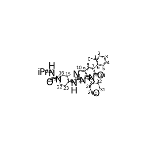 Cc1ccccc1-c1cc2cnc(NC3CCN(C(=O)NC(C)C)CC3)nc2n(C2CCOCC2)c1=O